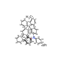 Cc1ccc2c(c1)C1(c3ccccc3-c3cc4c5ccccc5c5ccccc5c4cc31)c1cc(N(c3ccccc3)c3ccc(C(C)C)cc3)ccc1-2